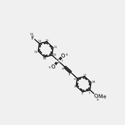 COc1ccc(C#CS(=O)(=O)c2ccc(F)cc2)cc1